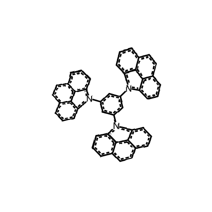 c1cc2ccc3cccc4c3c2c(c1)n4-c1cc(-n2c3cccc4ccc5cccc2c5c43)cc(-n2c3cccc4ccc5cccc2c5c43)c1